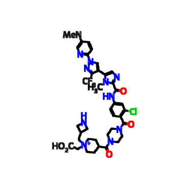 CNc1ccc(-n2cc(-c3cnc(C(=O)Nc4ccc(C(=O)N5CCN(C(=O)C6CC[N+](CC(=O)O)(CC7CNC7)CC6)CC5)c(Cl)c4)n3C)c(C(F)(F)F)n2)nc1